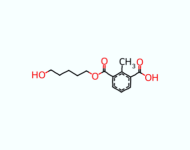 Cc1c(C(=O)O)cccc1C(=O)OCCCCCO